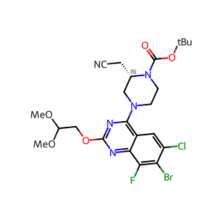 COC(COc1nc(N2CCN(C(=O)OC(C)(C)C)[C@@H](CC#N)C2)c2cc(Cl)c(Br)c(F)c2n1)OC